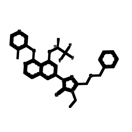 CCn1c(COCc2ccccc2)nn(-c2cc(O[C@@H](C)C(F)(F)F)c3c(Oc4cnccc4C)nccc3c2)c1=O